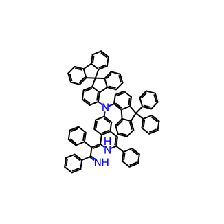 N=C(/C(=C1\NC(c2ccccc2)=Cc2cc(N(c3cccc4c3-c3ccccc3C4(c3ccccc3)c3ccccc3)c3cccc4c3-c3ccccc3C43c4ccccc4-c4ccccc43)ccc21)c1ccccc1)c1ccccc1